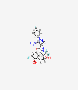 CC1c2c(ccc(F)c2O)C(NC(=O)c2cnn(-c3ccc(F)cc3)c2N)C(O)(C(F)(F)F)C1C